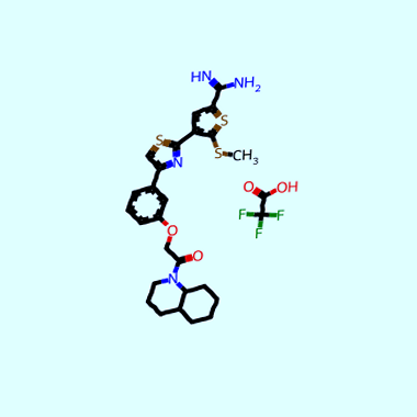 CSc1sc(C(=N)N)cc1-c1nc(-c2cccc(OCC(=O)N3CCCC4CCCCC43)c2)cs1.O=C(O)C(F)(F)F